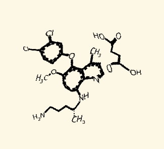 COc1cc(N[C@H](C)CCCN)c2nccc(C)c2c1Oc1ccc(Cl)c(Cl)c1.O=C(O)CCC(=O)O